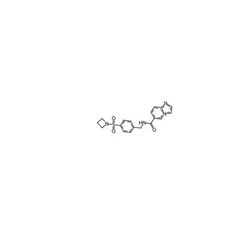 O=C(NCc1ccc(S(=O)(=O)N2CCC2)cc1)c1ccc2nccn2c1